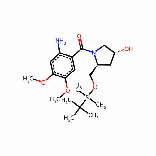 COc1cc(N)c(C(=O)N2C[C@H](O)C[C@H]2CO[Si](C)(C)C(C)(C)C)cc1OC